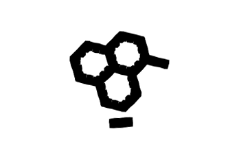 C=C.C=c1ccc2cccc3cccc1c32